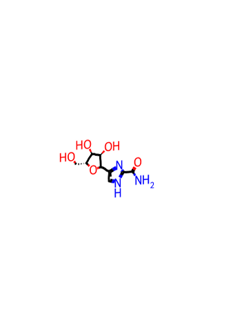 NC(=O)c1nc(C2O[C@H](CO)[C@@H](O)[C@H]2O)c[nH]1